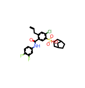 C=CCc1cc(Cl)c(S(=O)(=O)[C@H]2CC3CCC(C2)[C@@]3(C)O)cc1C(=O)Nc1ccc(F)c(F)c1